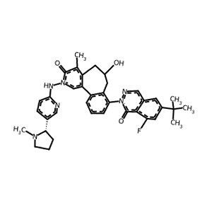 Cc1c2c(cn(Nc3ccc([C@@H]4CCCN4C)cn3)c1=O)-c1cccc(-n3ncc4cc(C(C)(C)C)cc(F)c4c3=O)c1CC(O)C2